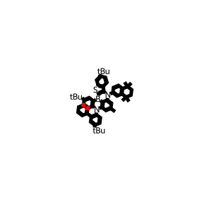 Cc1cc2c3c(c1)N(c1ccc4c(c1)C(C)(C)CCC4(C)C)c1c(sc4cc(C(C)(C)C)ccc14)B3c1cc(C(C)(C)C)ccc1N2c1ccc(C(C)(C)C)cc1-c1ccccc1